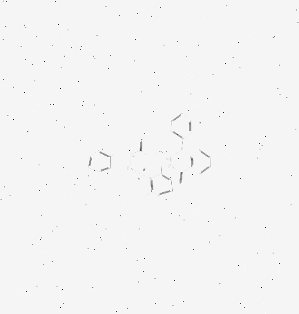 O=C(N[C@@H](COC(=O)[C@@H](Cc1ccccc1)NS(=O)(=O)c1c(F)cccc1F)Cc1ccccc1)c1ccccc1